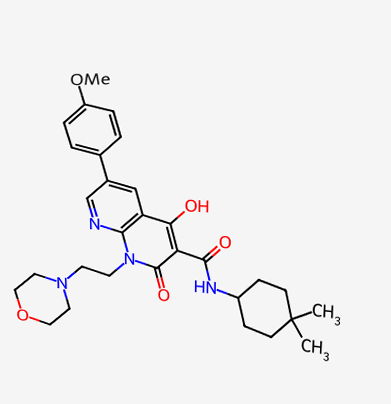 COc1ccc(-c2cnc3c(c2)c(O)c(C(=O)NC2CCC(C)(C)CC2)c(=O)n3CCN2CCOCC2)cc1